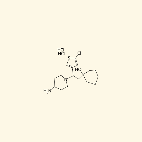 Cl.Cl.NC1CCN(C(CC2(O)CCCCC2)c2csc(Cl)c2)CC1